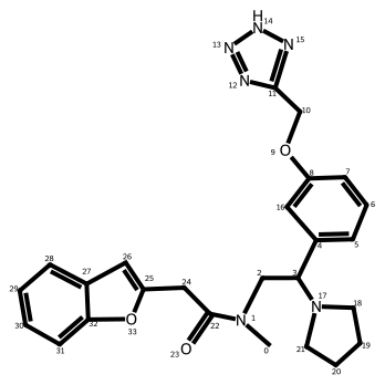 CN(CC(c1cccc(OCc2nn[nH]n2)c1)N1CCCC1)C(=O)Cc1cc2ccccc2o1